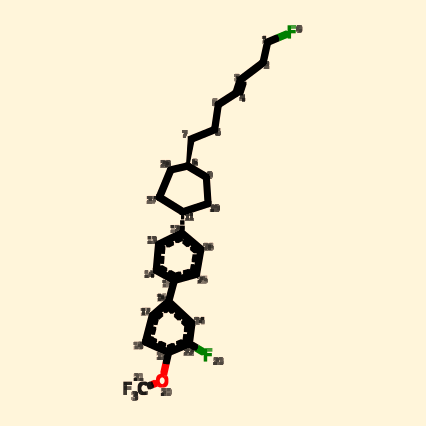 FCCC=CCCC[C@H]1CC[C@H](c2ccc(-c3ccc(OC(F)(F)F)c(F)c3)cc2)CC1